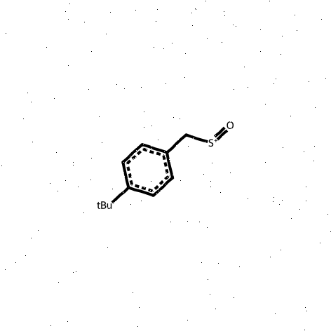 CC(C)(C)c1ccc(C[S+]=O)cc1